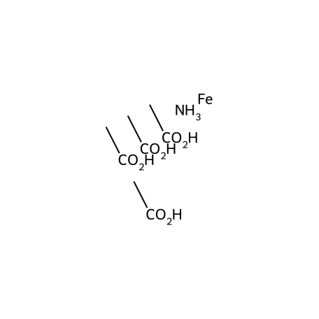 CC(=O)O.CC(=O)O.CC(=O)O.CC(=O)O.N.[Fe]